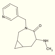 CNC1CC2CC2CN(Cc2cccnc2)C1=O